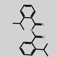 CC(C)c1ccccc1C(=O)OC(=O)c1ccccc1C(C)C